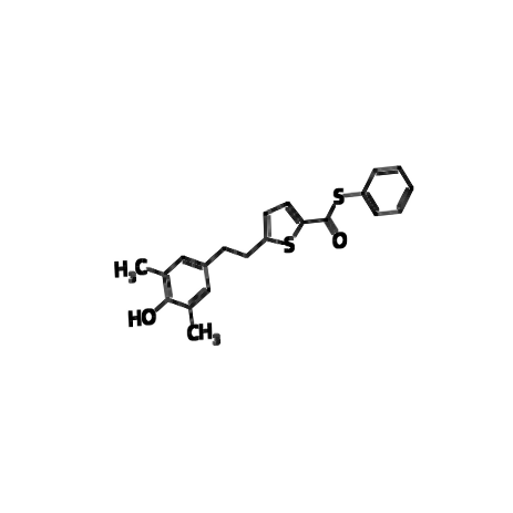 Cc1cc(CCc2ccc(C(=O)Sc3ccccc3)s2)cc(C)c1O